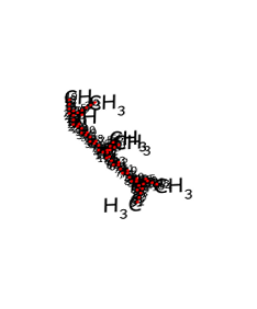 CCCCCCc1cccc(-c2cc(CCCCCC)ccc2NCc2ccc(/C=C/c3ccc(/C=C/c4ccc(/C=C/c5ccc6c(c5)C(CCCCCC)(CCCCCC)c5cc(/C=C/c7ccc(/C=C/c8ccc(/C=C/c9ccc(C%10c%11ccc(CCCCCC)cc%11-c%11cc(CCCCCC)ccc%11%10)cc9)cc8)cc7)ccc5-6)cc4)cc3)cc2)c1